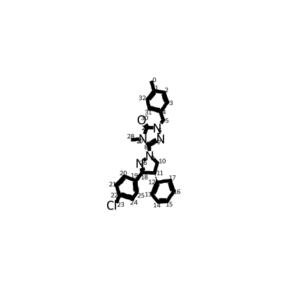 Cc1ccc(Cn2nc(N3C[C@H](c4ccccc4)C(c4ccc(Cl)cc4)=N3)n(C)c2=O)cc1